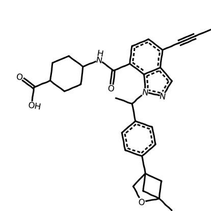 CC#Cc1ccc(C(=O)NC2CCC(C(=O)O)CC2)c2c1cnn2C(C)c1ccc(C23COC(C)(C2)C3)cc1